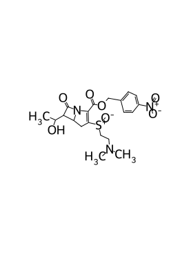 CC(O)C1C(=O)N2C(C(=O)OCc3ccc([N+](=O)[O-])cc3)=C([S+]([O-])CCN(C)C)CC12